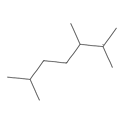 C[C](C)C(C)CCC(C)C